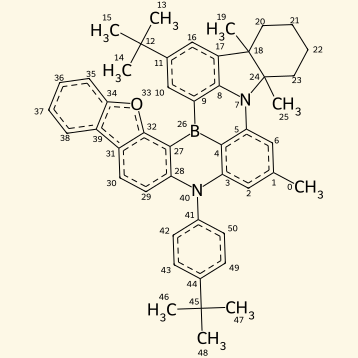 Cc1cc2c3c(c1)N1c4c(cc(C(C)(C)C)cc4C4(C)CCCCC14C)B3c1c(ccc3c1oc1ccccc13)N2c1ccc(C(C)(C)C)cc1